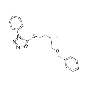 C[C@@H](CCSc1nnnn1-c1ccccc1)COCc1ccccc1